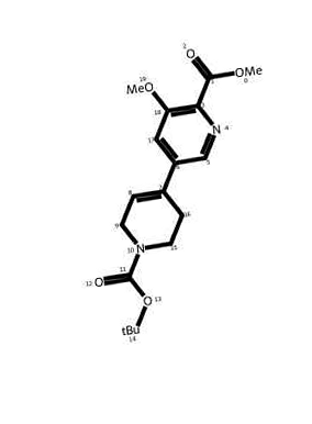 COC(=O)c1ncc(C2=CCN(C(=O)OC(C)(C)C)CC2)cc1OC